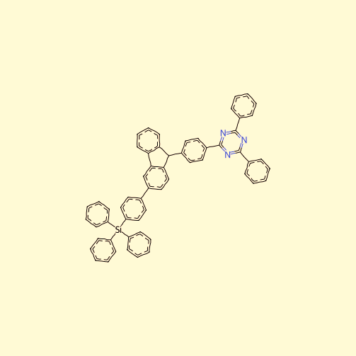 c1ccc(-c2nc(-c3ccccc3)nc(-c3ccc(C4c5ccccc5-c5cc(-c6ccc([Si](c7ccccc7)(c7ccccc7)c7ccccc7)cc6)ccc54)cc3)n2)cc1